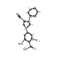 N#Cc1cn(-c2cc(O)c(C(=O)O)c(F)c2)cc1-c1ccccc1